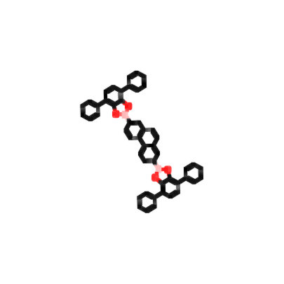 c1ccc(-c2ccc(-c3ccccc3)c3c2OB(c2ccc4c(ccc5cc(B6Oc7c(-c8ccccc8)ccc(-c8ccccc8)c7O6)ccc54)c2)O3)cc1